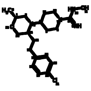 C[C@H]1CN(C2CCN(C(=N)NO)CC2)[C@@H](CCc2ccc(Cl)cc2)CO1